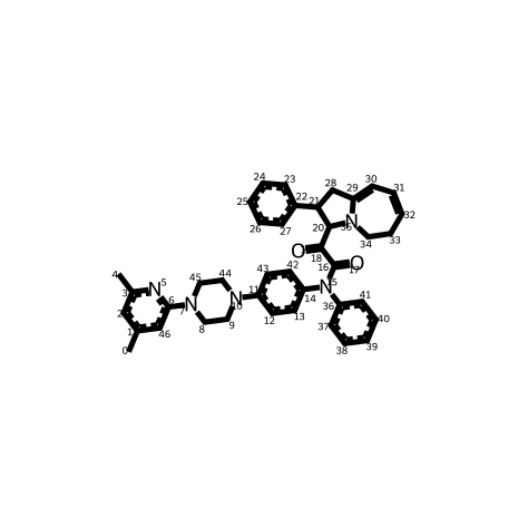 Cc1cc(C)nc(N2CCN(c3ccc(N(C(=O)C(=O)C4C(c5ccccc5)CC5=CC=CCCN54)c4ccccc4)cc3)CC2)c1